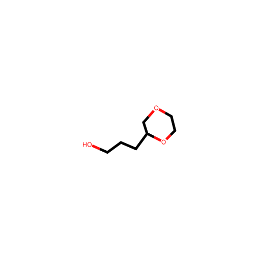 OCCCC1COCCO1